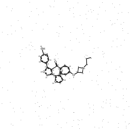 CCCN1CC(Oc2ccc(C(=O)c3c(-c4sccc4C)noc3-c3ccc(O)cc3)cc2)C1